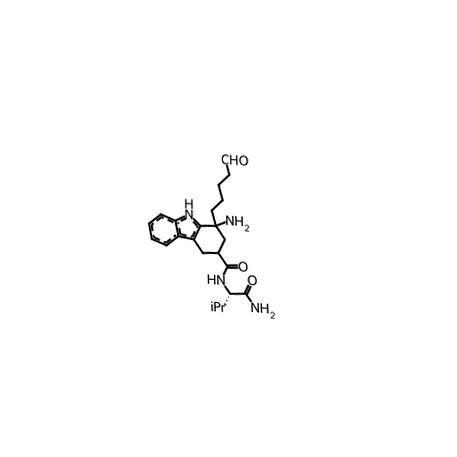 CC(C)[C@H](NC(=O)C1Cc2c([nH]c3ccccc23)C(N)(CCCCC=O)C1)C(N)=O